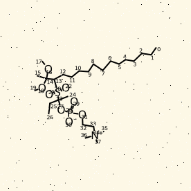 CCCCCCCCCCCCCC(C(C)(OC)OC)S(=O)(=O)C(C)(CC)OP(=O)([O-])OCC[N+](C)(C)C